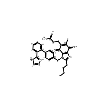 CCCCc1nc2c(n1Cc1ccc(-c3ccccc3-c3nnn[nH]3)cc1)C(=O)C(CCC(=O)O)=C(C)C2=O